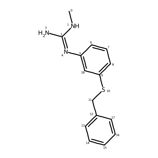 CNC(N)=Nc1cccc(SCc2ccccc2)c1